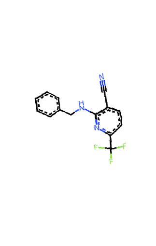 N#Cc1ccc(C(F)(F)F)nc1NCc1ccccc1